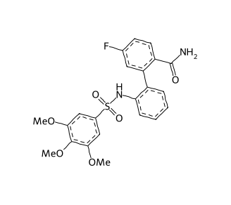 COc1cc(S(=O)(=O)Nc2ccccc2-c2cc(F)ccc2C(N)=O)cc(OC)c1OC